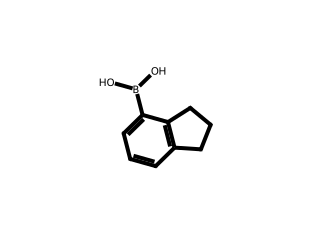 OB(O)c1cccc2c1CCC2